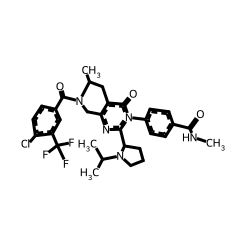 CNC(=O)c1ccc(-n2c(C3CCCN3C(C)C)nc3c(c2=O)CC(C)N(C(=O)c2ccc(Cl)c(C(F)(F)F)c2)C3)cc1